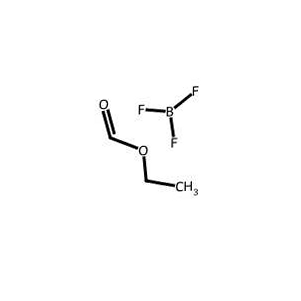 CCOC=O.FB(F)F